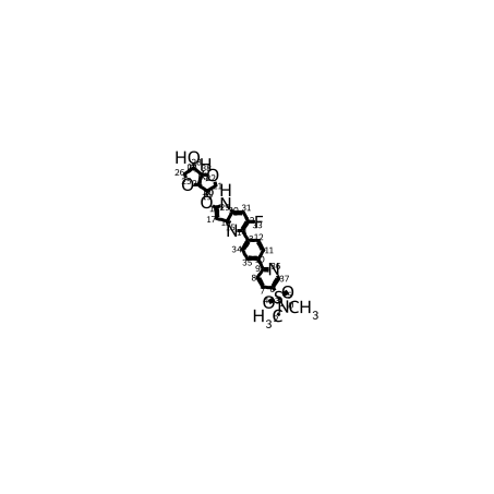 CN(C)S(=O)(=O)c1ccc(-c2ccc(-c3nc4cc(O[C@@H]5CO[C@H]6C5OC[C@H]6O)[nH]c4cc3F)cc2)nc1